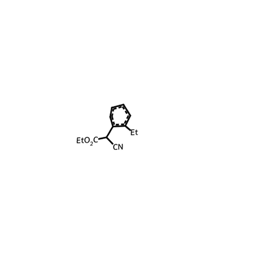 CCOC(=O)C(C#N)c1ccccc1CC